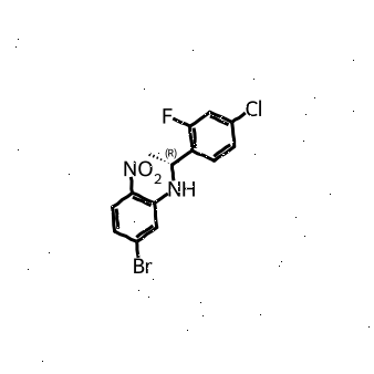 C[C@@H](Nc1cc(Br)ccc1[N+](=O)[O-])c1ccc(Cl)cc1F